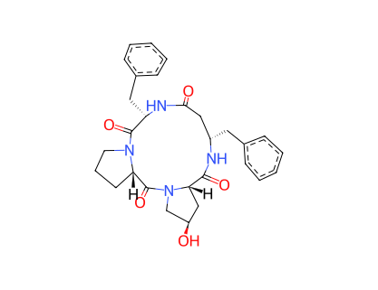 O=C1C[C@H](Cc2ccccc2)NC(=O)[C@@H]2C[C@@H](O)CN2C(=O)[C@@H]2CCCN2C(=O)[C@H](Cc2ccccc2)N1